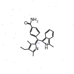 CCC1=C(C)/C(=C(\c2ccc(C(N)=O)cc2)c2[nH]c(C)c3ccccc23)N=C1C